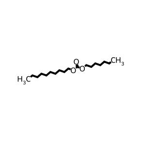 CCCCCCCCCCOC(=O)OCCCCCCC